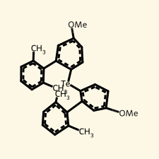 COc1ccc([Te]c2ccc(OC)cc2-c2c(C)cccc2C)c(-c2c(C)cccc2C)c1